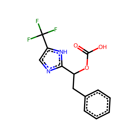 O=C(O)OC(Cc1ccccc1)c1ncc(C(F)(F)F)[nH]1